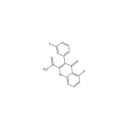 CC(=O)c1oc2cccc(F)c2c(=O)c1-c1cccc(F)c1